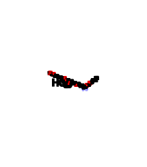 CCCCCCCC/C=C\CCCCCCCC(=O)CC(CCCCCCCCCC)C(=O)O